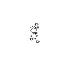 O=C(O)CNCC(=O)O.OCCNCCO